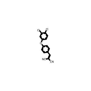 N#CC(C#N)=Cc1ccc(Oc2ccc(Cl)c(Cl)c2)cc1